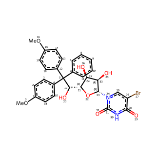 COc1ccc(C(c2ccccc2)(c2ccc(OC)cc2)C(O)[C@H]2O[C@@H](n3cc(Br)c(=O)[nH]c3=O)[C@H](O)[C@@H]2O)cc1